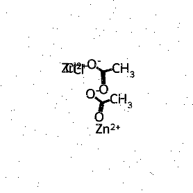 CC(=O)[O-].CC(=O)[O-].[Cl-].[Cl-].[Zn+2].[Zn+2]